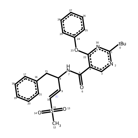 CC(C)(C)c1ncc(C(=O)NC(/C=C/S(C)(=O)=O)Cc2ccccc2)c(Oc2ccccc2)n1